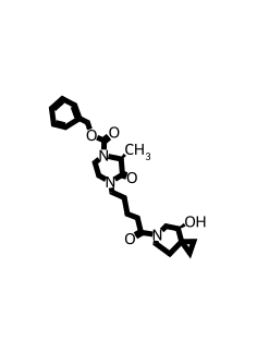 C[C@H]1C(=O)N(CCCCC(=O)N2CCC3(CC3)[C@H](O)C2)CCN1C(=O)OCc1ccccc1